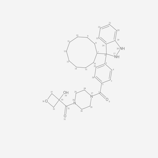 O=C(c1ccc(C2(C3CCCCCCCCC3)NNc3ccccc32)cc1)N1CCN(C(=O)C2(O)COC2)CC1